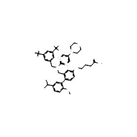 COc1ccc(C(C)C)cc1-c1ccc(OCCCC(=O)O)cc1CN(Cc1cc(C(F)(F)F)cc(C(F)(F)F)c1)c1ncc(N2CCOCC2)cn1